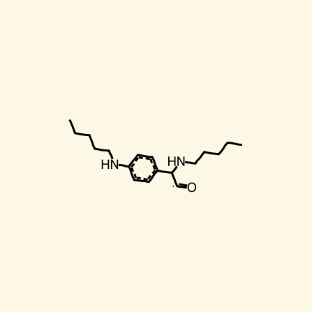 CCCCCNc1ccc(C([C]=O)NCCCCC)cc1